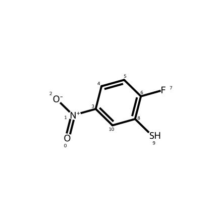 O=[N+]([O-])c1ccc(F)c(S)c1